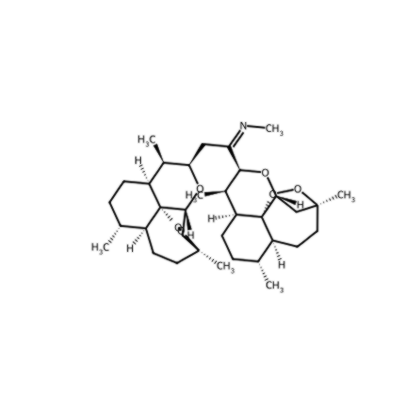 C/N=C(/C[C@H]1O[C@@H]2C[C@]3(C)CC[C@H]4[C@H](C)CC[C@@H]([C@H]1C)[C@@]24OO3)[C@H]1O[C@@H]2C[C@]3(C)CC[C@H]4[C@H](C)CC[C@@H]([C@H]1C)[C@@]24OO3